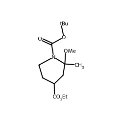 CCOC(=O)C1CCN(C(=O)OC(C)(C)C)C(C)(OC)C1